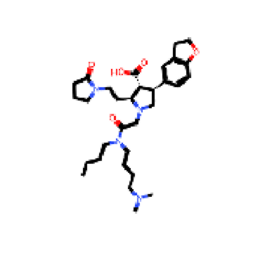 CCCCN(CCCCN(C)C)C(=O)CN1C[C@H](c2ccc3c(c2)CCO3)[C@@H](C(=O)O)[C@@H]1CCN1CCCC1=O